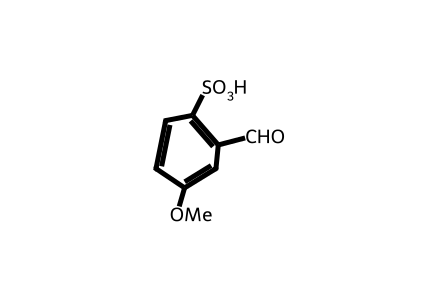 COc1ccc(S(=O)(=O)O)c(C=O)c1